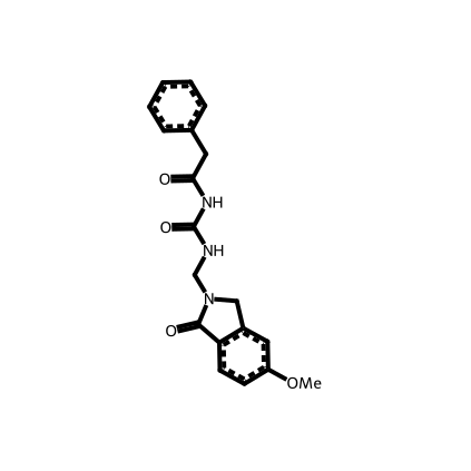 COc1ccc2c(c1)CN(CNC(=O)NC(=O)Cc1ccccc1)C2=O